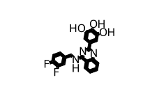 Oc1cc(-c2nc(NCc3ccc(F)c(F)c3)c3ccccc3n2)cc(O)c1O